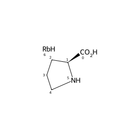 O=C(O)[C@@H]1CCCN1.[RbH]